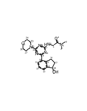 CN(C)C(=O)CNc1nc(-c2cccc3c2CCC3O)nc(N2CCOCC2)n1